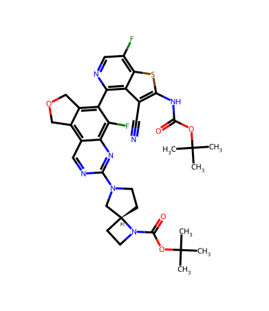 CC(C)(C)OC(=O)Nc1sc2c(F)cnc(-c3c4c(c5cnc(N6CC[C@@]7(CCN7C(=O)OC(C)(C)C)C6)nc5c3F)COC4)c2c1C#N